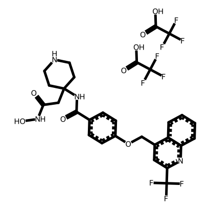 O=C(CC1(NC(=O)c2ccc(OCc3cc(C(F)(F)F)nc4ccccc34)cc2)CCNCC1)NO.O=C(O)C(F)(F)F.O=C(O)C(F)(F)F